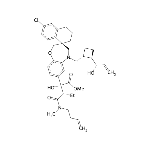 C=CCCN(C)C(=O)[C@@H](CC)[C@](O)(C(=O)OC)c1ccc2c(c1)N(C[C@@H]1CC[C@H]1[C@@H](O)C=C)C[C@@]1(CCCc3cc(Cl)ccc31)CO2